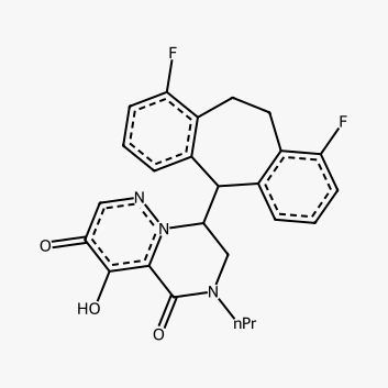 CCCN1CC(C2c3cccc(F)c3CCc3c(F)cccc32)n2ncc(=O)c(O)c2C1=O